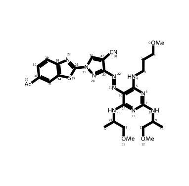 COCCCNc1nc(NC(C)COC)nc(NC(C)COC)c1N=Nc1nn(-c2nc3ccc(C(C)=O)cc3s2)cc1C#N